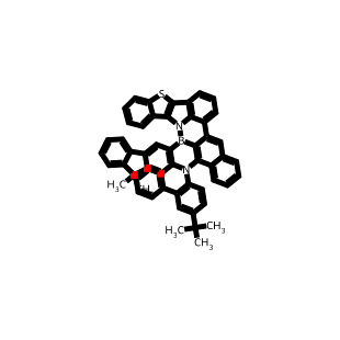 CC(C)(C)c1ccc(N2c3cc4c(cc3B3c5c(cc6ccccc6c52)-c2cccc5c6sc7ccccc7c6n3c25)-c2ccccc2C4(C)C)c(-c2ccccc2)c1